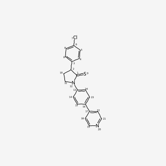 S=C1C(c2ccc(Cl)cc2)CCN1c1ccc(-c2ccncc2)cc1